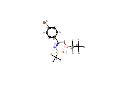 CC(C)(C)[S+]([O-])/N=C(\CO[Si](C)(C)C(C)(C)C)c1ccc(Br)cc1